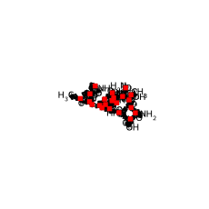 CCCCCC(=O)N=CC(CSCc1cc(CSCCNC(=O)CN2CCN(CC(=O)O)CCN(CC(N)=O)CCN(CC(=O)O)CC2)cc(CSCC(NC(=O)[C@H](Cc2ccccc2)NC(=O)[C@H](CCC(N)=O)NC(=O)[C@@H](C)[C@@H](C)O)C(=O)O)c1)C(=O)N1CCC[C@H]1C(=O)N1CCC[C@H]1C(N)=O